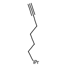 C#CCCCCC([CH2])C